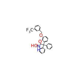 O=C(NO)C(c1ccccc1)(c1ccccc1)c1cccc(OCc2cccc(C(F)(F)F)c2)c1